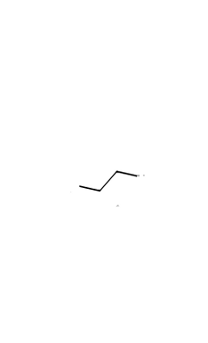 PCCP.[Fe]